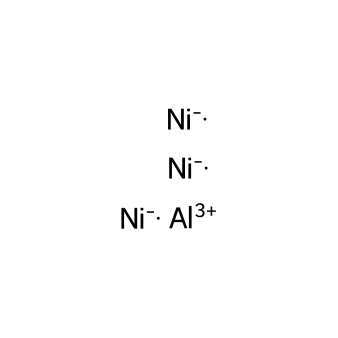 [Al+3].[Ni-].[Ni-].[Ni-]